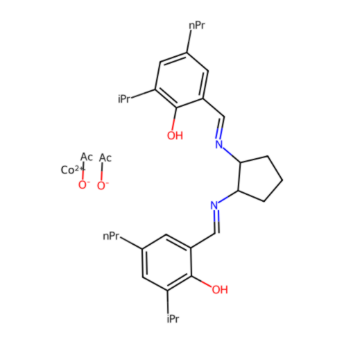 CC(=O)[O-].CC(=O)[O-].CCCc1cc(C=NC2CCCC2N=Cc2cc(CCC)cc(C(C)C)c2O)c(O)c(C(C)C)c1.[Co+2]